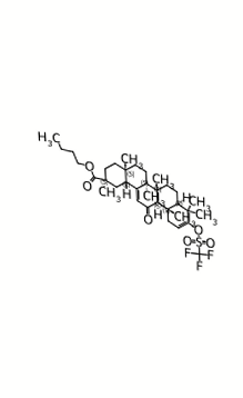 CCCCOC(=O)[C@@]1(C)CC[C@]2(C)CC[C@]3(C)C(=CC(=O)[C@@H]4[C@@]5(C)CC=C(OS(=O)(=O)C(F)(F)F)C(C)(C)[C@@H]5CC[C@]43C)[C@@H]2C1